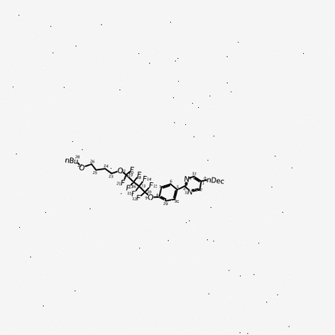 CCCCCCCCCCc1cnc(-c2ccc(OC(F)(F)C(F)(F)C(F)(F)C(F)(F)OCCCCOCCCC)cc2)nc1